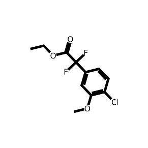 CCOC(=O)C(F)(F)c1ccc(Cl)c(OC)c1